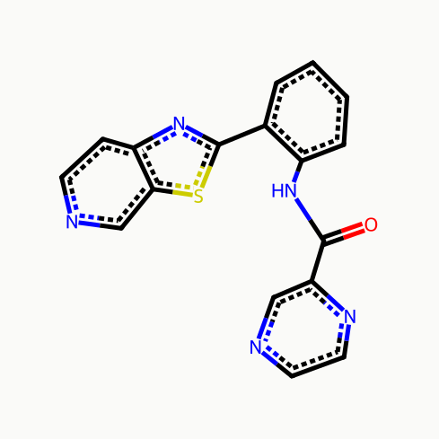 O=C(Nc1ccccc1-c1nc2ccncc2s1)c1cnccn1